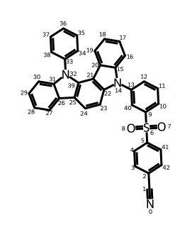 N#Cc1ccc(S(=O)(=O)c2cccc(-n3c4ccccc4c4c3ccc3c5ccccc5n(-c5ccccc5)c34)c2)cc1